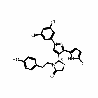 O=C1CS[C@H](c2cn(-c3cc(Cl)cc(Cl)c3)nc2-c2ccc(Cl)[nH]2)N1CCc1ccc(O)cc1